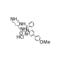 COc1ccc(-c2ccc3c(c2)nc(C(=O)NCC(N)CCCN)n3Cc2ccccc2)cc1.Cl